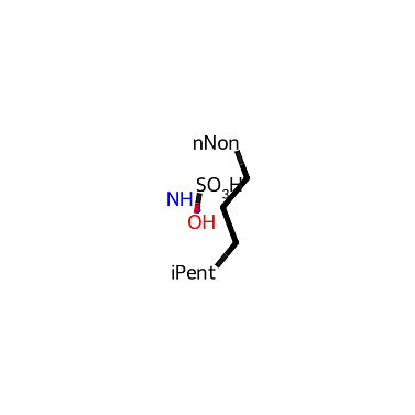 CCCCCCCCCCCCC(C)CCC.N.O=S(=O)(O)O